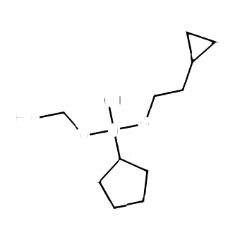 CCO[Si](C)(OCCC1CC1)C1CCCC1